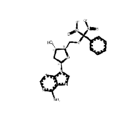 Nc1ncnc2c1ncn2[C@H]1C[C@H](O)[C@@H](COC(c2ccccc2)([N+](=O)[O-])[N+](=O)[O-])O1